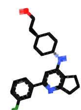 OCC[C@H]1CC[C@H](Nc2cc(-c3cccc(Cl)c3)nc3c2CCC3)CC1